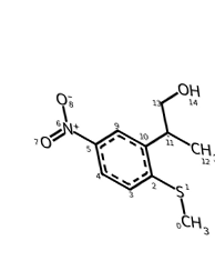 CSc1ccc([N+](=O)[O-])cc1[C](C)CO